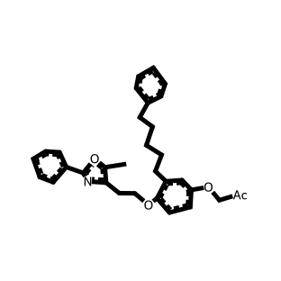 CC(=O)COc1ccc(OCCc2nc(-c3ccccc3)oc2C)c(CCCCCc2ccccc2)c1